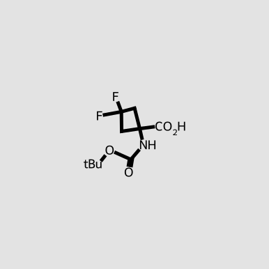 CC(C)(C)OC(=O)NC1(C(=O)O)CC(F)(F)C1